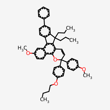 CCCCOc1ccc(C2(c3ccc(OC)cc3)C=Cc3c4c(c5cc(OC)ccc5c3O2)-c2ccc(-c3ccccc3)cc2C4(CCC)CCC)cc1